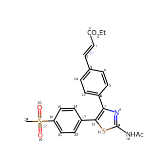 CCOC(=O)/C=C/c1ccc(-c2nc(NC(C)=O)sc2-c2ccc(S(C)(=O)=O)cc2)cc1